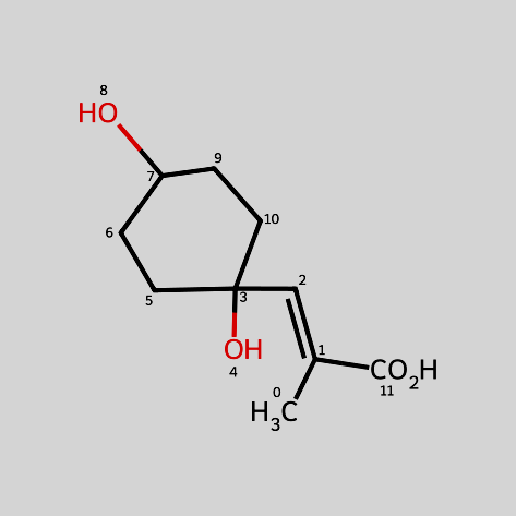 CC(=CC1(O)CCC(O)CC1)C(=O)O